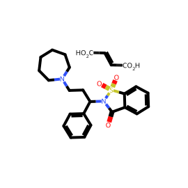 O=C(O)C=CC(=O)O.O=C1c2ccccc2S(=O)(=O)N1C(CCN1CCCCCC1)c1ccccc1